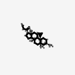 CC[C@]12CCC3[C@@H](CC[C@]4(C)C[C@@H](C)CC[C@]34C3CC3)C1CC[C@@H]2C(=O)CBr